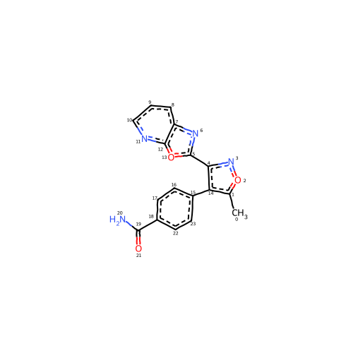 Cc1onc(-c2nc3cccnc3o2)c1-c1ccc(C(N)=O)cc1